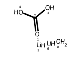 O.O=C(O)O.[LiH].[LiH]